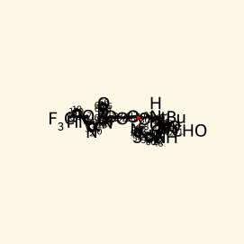 Cc1ncc(NC(=O)c2cccc(C(F)(F)F)c2)cc1-c1cnc(OCCOCCOCCOCCN[C@@H](C(=O)N2C[C@H](OC=O)C[C@H]2C(=O)N[C@@H](C)c2ccc(-c3scnc3C)cc2)C(C)(C)C)c(N2CCOCC2)c1